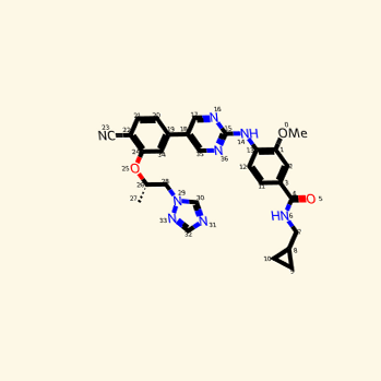 COc1cc(C(=O)NCC2CC2)ccc1Nc1ncc(-c2ccc(C#N)c(O[C@@H](C)Cn3cncn3)c2)cn1